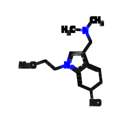 COCCn1cc(CN(C)C)c2c1=CC(N=O)CC=2